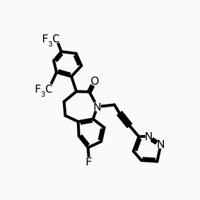 O=C1C(c2ccc(C(F)(F)F)cc2C(F)(F)F)CCc2cc(F)ccc2N1CC#Cc1cccnn1